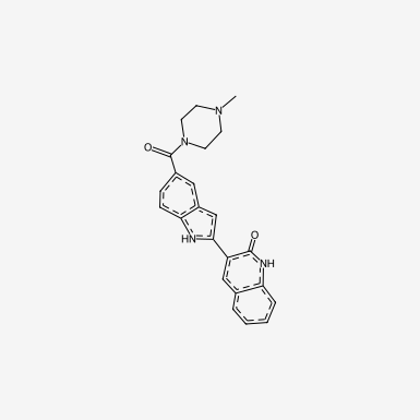 CN1CCN(C(=O)c2ccc3[nH]c(-c4cc5ccccc5[nH]c4=O)cc3c2)CC1